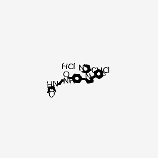 Cc1ccncc1-n1c(-c2ccc(Cl)cc2)ccc1-c1ccc(C(=O)NCCN[C@H]2CCOC2)cc1.Cl